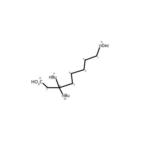 CCCCCCCCCCCCCCCC([CH]C(=O)O)(CCCC)CCCC